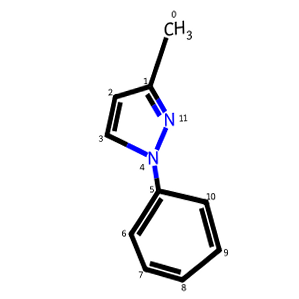 Cc1ccn(-c2ccccc2)n1